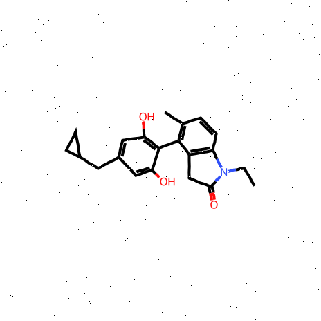 CCN1C(=O)Cc2c1ccc(C)c2-c1c(O)cc(CC2CC2)cc1O